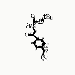 CC(C)(C)OC(=O)NCC(=O)c1ccc(CO)cc1